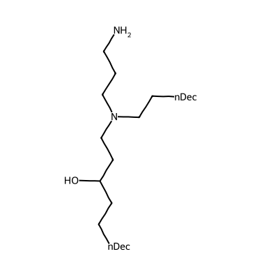 CCCCCCCCCCCCC(O)CCN(CCCN)CCCCCCCCCCCC